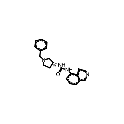 O=C(Nc1cccc2cnccc12)N[C@@H]1CCN(Cc2ccccc2)C1